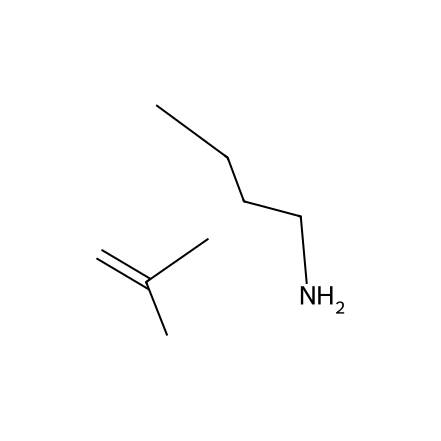 C=C(C)C.CCCCN